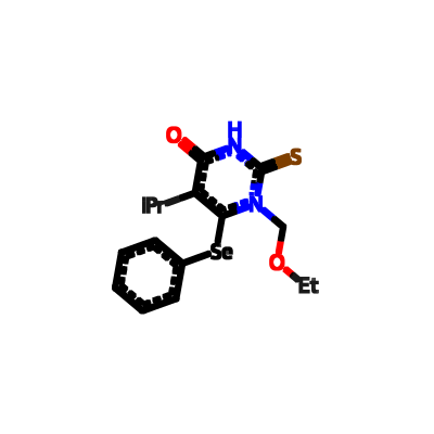 CCOCn1c([Se]c2ccccc2)c(C(C)C)c(=O)[nH]c1=S